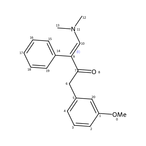 COc1cccc(CC(=O)/C(=C/N(C)C)c2ccccc2)c1